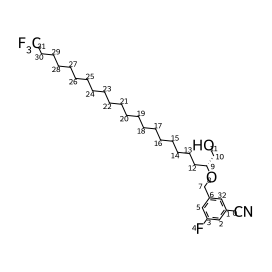 N#Cc1cc(F)cc(CO[C@@H](CO)CCCCCCCCCCCCCCCCCCCC(F)(F)F)c1